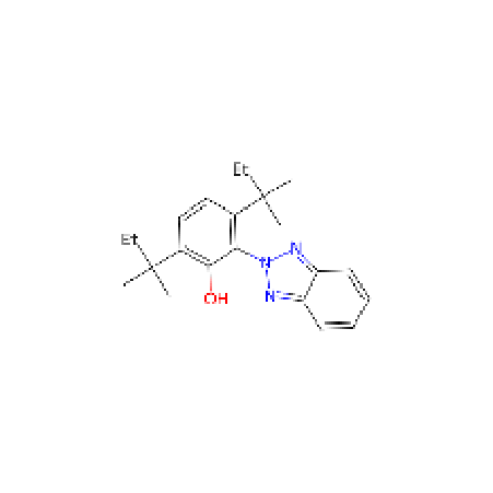 CCC(C)(C)c1ccc(C(C)(C)CC)c(-n2nc3ccccc3n2)c1O